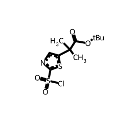 CC(C)(C)OC(=O)C(C)(C)c1cnc(S(=O)(=O)Cl)s1